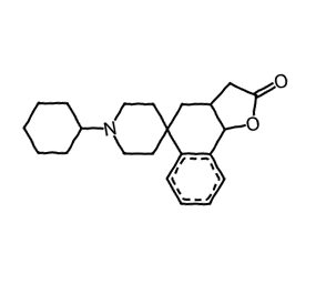 O=C1CC2CC3(CCN(C4CCCCC4)CC3)c3ccccc3C2O1